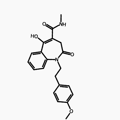 CNC(=O)C1=C(O)c2ccccc2N(CCc2ccc(OC)cc2)C(=O)C1